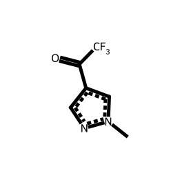 Cn1cc(C(=O)C(F)(F)F)cn1